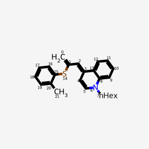 C=C(/C=C1\C=CN(CCCCCC)c2ccccc21)Sc1ccccc1C